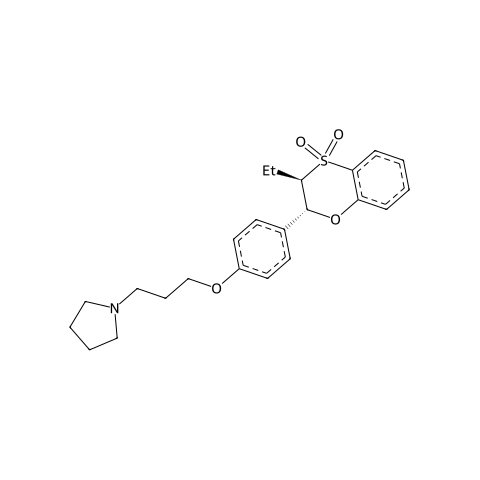 CC[C@@H]1[C@@H](c2ccc(OCCCN3CCCC3)cc2)Oc2ccccc2S1(=O)=O